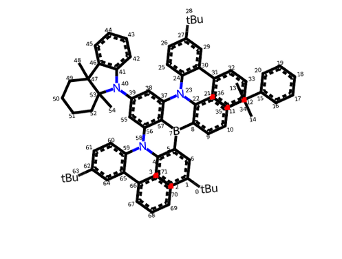 CC(C)(C)c1ccc2c(c1)B1c3ccc(C(C)(C)c4ccccc4)cc3N(c3ccc(C(C)(C)C)cc3-c3ccccc3)c3cc(N4c5ccccc5C5(C)CCCCC45C)cc(c31)N2c1ccc(C(C)(C)C)cc1-c1ccccc1